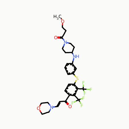 COCCC(=O)N1CCC(Nc2cccc(Sc3ccc(C(=O)C=CN4CCOCC4)c(C(F)(F)F)c3C(F)(F)F)c2)CC1